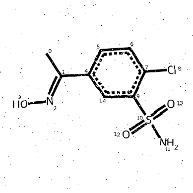 CC(=NO)c1ccc(Cl)c(S(N)(=O)=O)c1